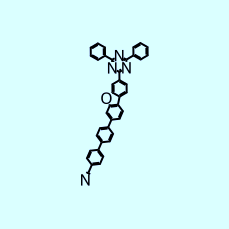 N#Cc1ccc(-c2ccc(-c3ccc4c(c3)oc3cc(-c5nc(-c6ccccc6)nc(-c6ccccc6)n5)ccc34)cc2)cc1